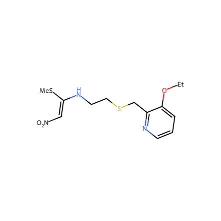 CCOc1cccnc1CSCCNC(=C[N+](=O)[O-])SC